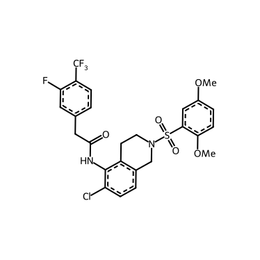 COc1ccc(OC)c(S(=O)(=O)N2CCc3c(ccc(Cl)c3NC(=O)Cc3ccc(C(F)(F)F)c(F)c3)C2)c1